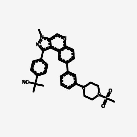 Cn1nc(-c2ccc(C(C)(C)C#N)cc2)c2c3cc(-c4cccc(N5CCN(S(C)(=O)=O)CC5)c4)ccc3ncc21